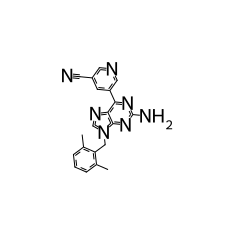 Cc1cccc(C)c1Cn1cnc2c(-c3cncc(C#N)c3)nc(N)nc21